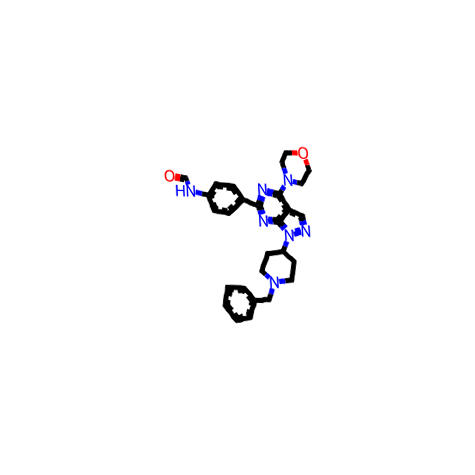 O=CNc1ccc(-c2nc(N3CCOCC3)c3cnn(C4CCN(Cc5ccccc5)CC4)c3n2)cc1